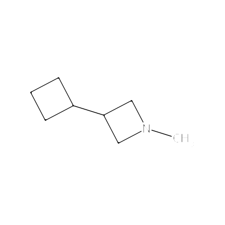 CN1CC(C2CCC2)C1